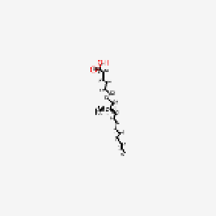 CCCCCCCCC=CCCCCCCCC(=O)O.[Fe].[MgH2]